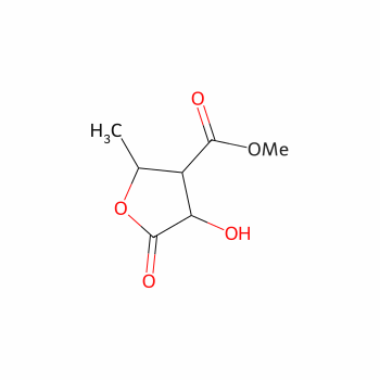 COC(=O)C1C(C)OC(=O)C1O